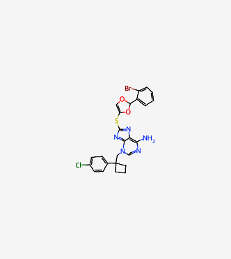 Nc1ncn(CC2(c3ccc(Cl)cc3)CCC2)c2nc(SC3=COC(c4ccccc4Br)O3)nc1-2